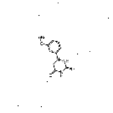 CCCCOc1cccc(N2CC(=O)NC(=O)N2)c1